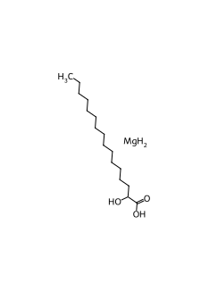 CCCCCCCCCCCCCCC(O)C(=O)O.[MgH2]